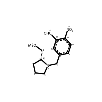 COC[C@H]1CCCN1Cc1ccc([N+](=O)[O-])c(C=O)c1